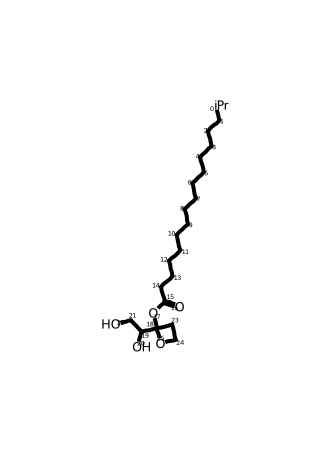 CC(C)CCCCCCCCCCCCCCC(=O)OC1(C(O)CO)CCO1